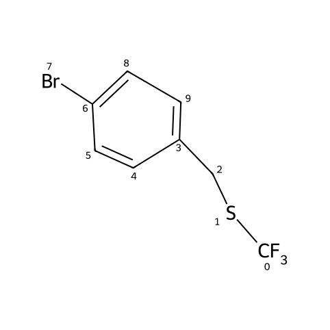 FC(F)(F)SCc1ccc(Br)cc1